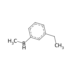 CBc1cccc(CC)c1